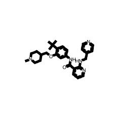 CN1CCC(COc2cc(NC(=O)c3cccnc3NCc3ccncc3)ccc2C(C)(C)C)CC1